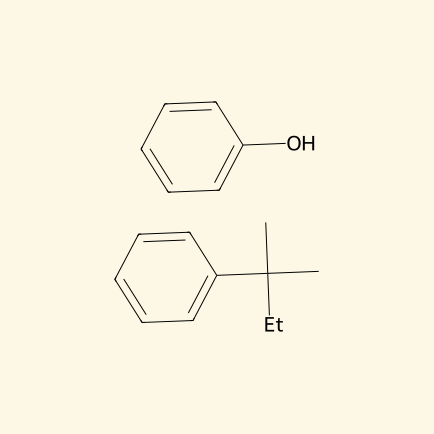 CCC(C)(C)c1ccccc1.Oc1ccccc1